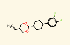 C=C[C@H]1CO[C@H](C2CCC(c3ccc(F)c(F)c3)CC2)OC1